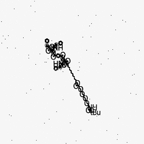 CC(C)(C)OC(=O)NCCOCCOCCOCCOCCC(=O)OCCCCCCCCCCCCNC(=O)[C@@H]1CN(C(=O)c2ccc(C(=O)N3C[C@@H](C(=O)N[C@H]4C[C@@H]4c4ccccc4)[C@H](C(=O)N[C@H]4C[C@@H]4c4ccccc4)C3)cc2)C[C@H]1C(=O)N[C@H]1C[C@@H]1c1ccccc1